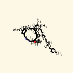 COc1cc2cc(c1Cl)N(C)C(=O)C[C@H](OC(=O)[C@@H](C)N(C)C(=O)CCOCCOCCNC(=O)OCC1CCN(C)CC1)[C@@]1(C)C[C@](C)(O1)[C@@H]1C[C@@](O)(NC(=O)O1)[C@H](OC)/C=C/C=C(\C)C2